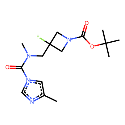 Cc1cn(C(=O)N(C)CC2(F)CN(C(=O)OC(C)(C)C)C2)cn1